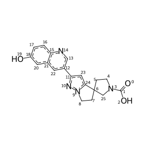 O=C(O)N1CCC2(CCn3nc(-c4cnc5ccc(O)cc5c4)cc32)C1